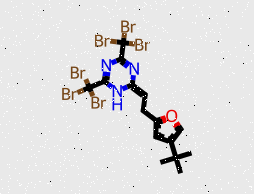 CC(C)(C)c1coc(CC=C2N=C(C(Br)(Br)Br)N=C(C(Br)(Br)Br)N2)c1